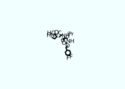 CC(C)C[C@H](NC(=O)OCC1CCC(F)(F)CC1)C(=O)N[C@@H](C[C@@H]1CCNC1=O)C(=O)O